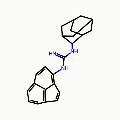 N=C(Nc1ccc2cccc3c2c1C=C3)NC1C2CC3CC(C2)CC1C3